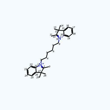 CC1=[N+](CCCCCC[N+]2=C(C)C(C)(C)c3ccccc32)c2ccccc2C1(C)C